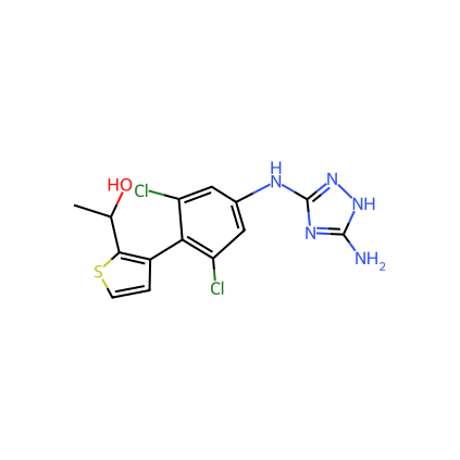 CC(O)c1sccc1-c1c(Cl)cc(Nc2n[nH]c(N)n2)cc1Cl